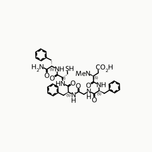 CN[C@@H](CC(=O)O)C(=O)N[C@@H](Cc1ccccc1)C(=O)NCC(=O)N[C@@H](Cc1ccccc1)C(=O)N[C@@H](CS)C(=O)N[C@@H](Cc1ccccc1)C(N)=O